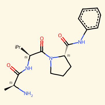 CC(C)[C@H](NC(=O)[C@H](C)N)C(=O)N1CCC[C@H]1C(=O)Nc1ccccc1